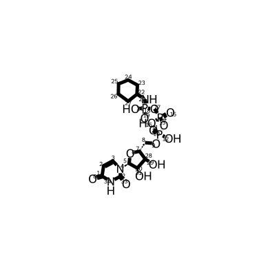 O=c1ccn([C@@H]2O[C@H](COP(=O)(O)OP(=O)(O)OP(=O)(O)NC3CCCCC3)C(O)[C@@H]2O)c(=O)[nH]1